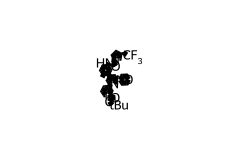 Cc1ccc(NC(=O)N2CC[C@@H](CC(F)(F)F)C2)cc1-c1cc(C2=CCCN(C(=O)OC(C)(C)C)C2)nc(N2CCOCC2)c1